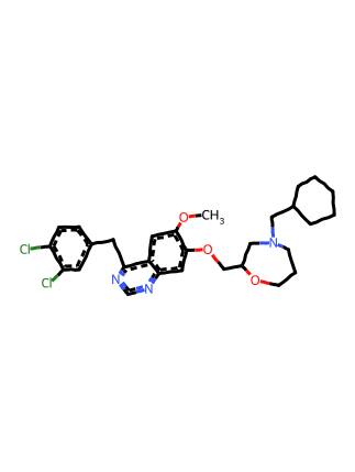 COc1cc2c(Cc3ccc(Cl)c(Cl)c3)ncnc2cc1OCC1CN(CC2CCCCC2)CCCO1